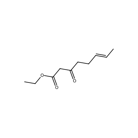 CC=CCCC(=O)CC(=O)OCC